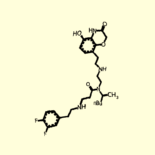 CCCCC(C)N(CCNCCc1ccc(O)c2c1OCC(=O)N2)C(=O)CCNCCc1ccc(F)c(F)c1